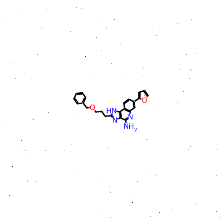 Nc1nc2cc(-c3ccco3)ccc2c2[nH]c(CCCOCc3ccccc3)nc12